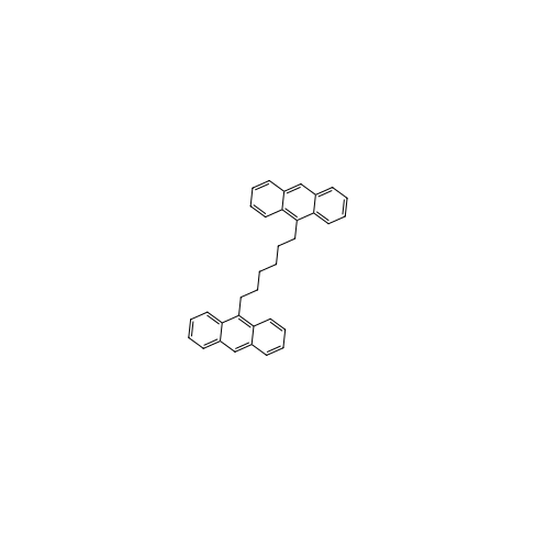 c1ccc2c(CCCCCCc3c4ccccc4cc4ccccc34)c3ccccc3cc2c1